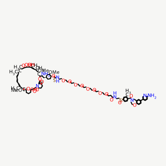 CO[C@H]1C[C@@H]2CCC[C@@](O)(O2)C(=O)C(=O)N2CCCC[C@H]2C(=O)O[C@H]([C@H](N)C[C@@H]2CC[C@@H](OC(=S)NCCOCCOCCOCCOCCOCCOCCOCCOCCC(=O)NCC[S+]([O-])c3ccc(C(=O)N4CCOc5ccc(-c6ccc(N)nc6)cc5C4)c(C)c3)[C@H](OC)C2)C[C@@H](OC)[C@H](C)/C=C(\C)[C@@H](O)[C@@H](O)C(=O)[C@H](C)C[C@H](C)/C=C/C=C/C=C/1C